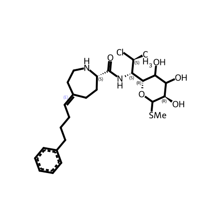 CSC1O[C@H]([C@H](NC(=O)[C@@H]2CC/C(=C\CCCc3ccccc3)CCN2)[C@H](C)Cl)C(O)C(O)[C@H]1O